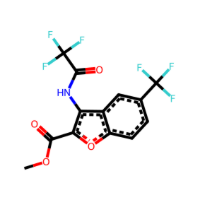 COC(=O)c1oc2ccc(C(F)(F)F)cc2c1NC(=O)C(F)(F)F